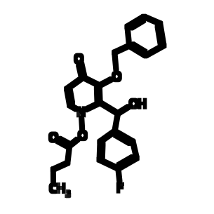 CCCC(=O)On1ccc(=O)c(OCc2ccccc2)c1C(O)c1ccc(F)cc1